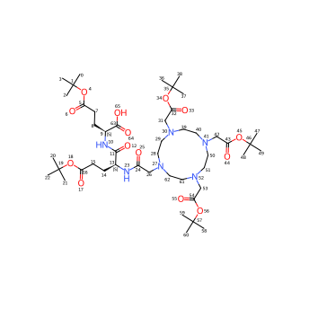 CC(C)(C)OC(=O)CC[C@H](NC(=O)[C@H](CCC(=O)OC(C)(C)C)NC(=O)CN1CCN(CC(=O)OC(C)(C)C)CCN(CC(=O)OC(C)(C)C)CCN(CC(=O)OC(C)(C)C)CC1)C(=O)O